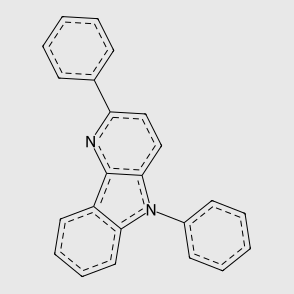 c1ccc(-c2ccc3c(n2)c2ccccc2n3-c2ccccc2)cc1